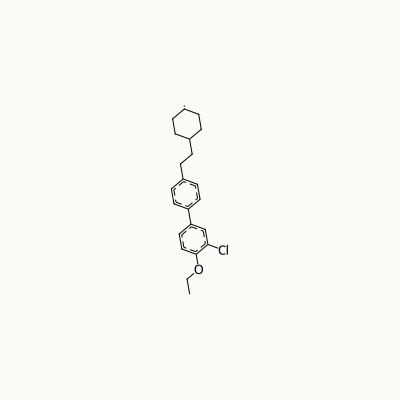 CCOc1ccc(-c2ccc(CCC3CC[CH]CC3)cc2)cc1Cl